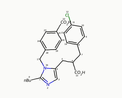 CCCCc1ncc(CC(Cc2ccc(Cl)cc2)C(=O)O)n1Cc1ccc(C(=O)O)cc1